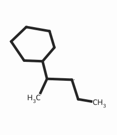 CC[CH]C(C)C1CCCCC1